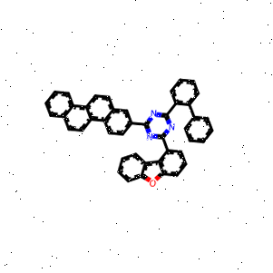 c1ccc(-c2ccccc2-c2nc(-c3ccc4c(ccc5c6ccccc6ccc45)c3)nc(-c3cccc4oc5ccccc5c34)n2)cc1